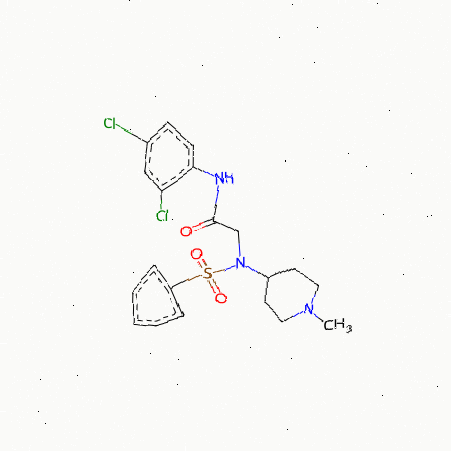 CN1CCC(N(CC(=O)Nc2ccc(Cl)cc2Cl)S(=O)(=O)c2ccccc2)CC1